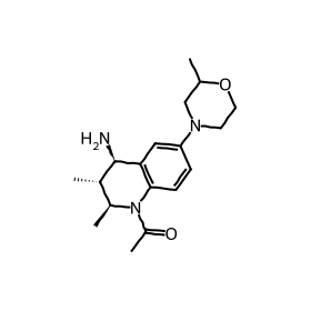 CC(=O)N1c2ccc(N3CCOC(C)C3)cc2[C@H](N)[C@@H](C)[C@@H]1C